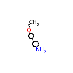 C=CCOc1ccc(-c2ccc(N)cc2)cc1